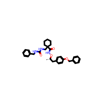 C[C@@H](Cc1ccc(OCc2ccccc2)cc1)ONC(=O)C1(CNC(=O)NCc2ccccc2)CCCCC1